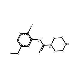 CCc1ccc(F)c(NC(=O)N2CCNCC2)c1